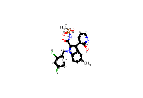 Cc1ccc2c(c1)c(-c1ccc[nH]c1=O)c(C(=O)NS(C)(=O)=O)n2Cc1ccc(F)cc1F